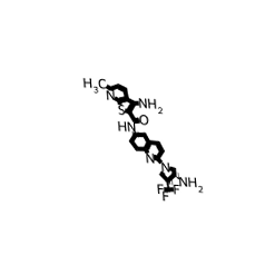 Cc1ccc2c(N)c(C(=O)N[C@H]3CCc4nc(N5C[C@H](N)[C@@H](C(F)(F)F)C5)ccc4C3)sc2n1